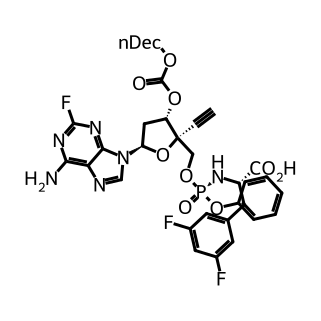 C#C[C@]1(CO[P@@](=O)(N[C@@H](Cc2cc(F)cc(F)c2)C(=O)O)Oc2ccccc2)O[C@@H](n2cnc3c(N)nc(F)nc32)C[C@@H]1OC(=O)OCCCCCCCCCC